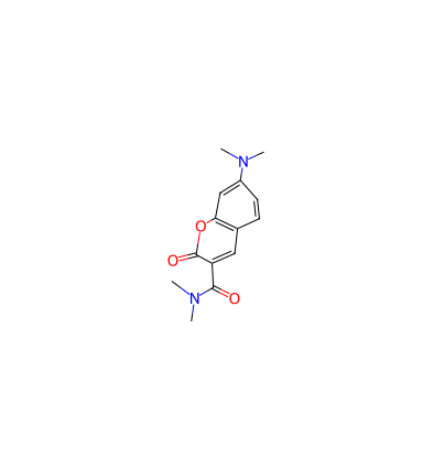 CN(C)C(=O)c1cc2ccc(N(C)C)cc2oc1=O